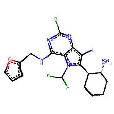 N[C@@H]1CCCC[C@H]1c1c(I)c2nc(Cl)nc(NCc3ccco3)c2n1C(F)F